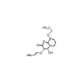 CCCC/C=C/Oc1c(O)c2cccc(OCC(=O)O)c2oc1=O